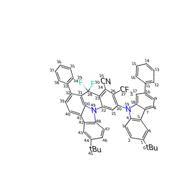 CC(C)(C)c1ccc2c(c1)c1ccc(-c3ccccc3)cc1n2-c1cc2c(c(C#N)c1C(F)(F)F)C(F)(F)c1c(-c3ccccc3)ccc3c4cc(C(C)(C)C)ccc4n-2c13